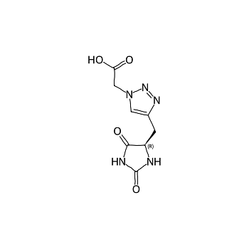 O=C(O)Cn1cc(C[C@H]2NC(=O)NC2=O)nn1